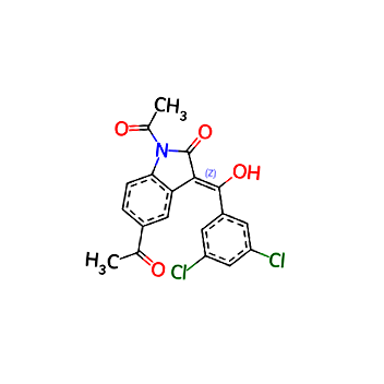 CC(=O)c1ccc2c(c1)/C(=C(/O)c1cc(Cl)cc(Cl)c1)C(=O)N2C(C)=O